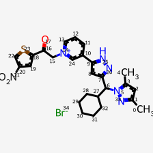 Cc1cc(C)n(C(c2cc(-c3ccc[n+](CC(=O)c4cc([N+](=O)[O-])cs4)c3)[nH]n2)C2CCCCC2)n1.[Br-]